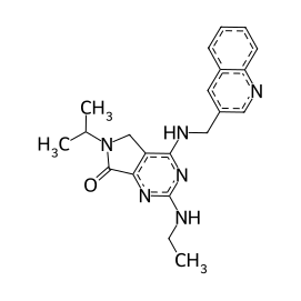 CCNc1nc(NCc2cnc3ccccc3c2)c2c(n1)C(=O)N(C(C)C)C2